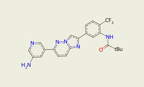 CC(C)(C)C(=O)Nc1cc(-c2cn3nc(-c4cncc(N)c4)ccc3n2)ccc1C(F)(F)F